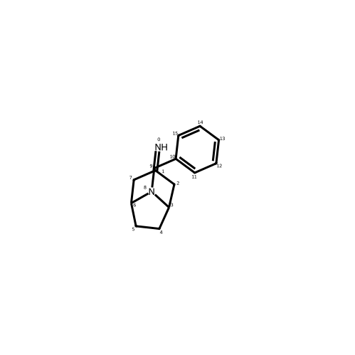 N=C1CC2CCC(C1)N2Cc1ccccc1